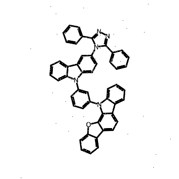 c1ccc(-c2nnc(-c3ccccc3)n2-c2ccc3c(c2)c2ccccc2n3-c2cccc(-n3c4ccccc4c4ccc5c6ccccc6oc5c43)c2)cc1